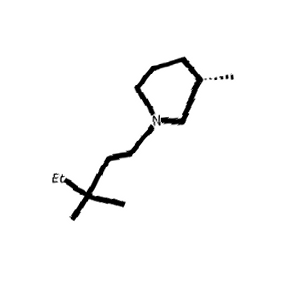 CCC(C)(C)CCN1CCC[C@H](C)C1